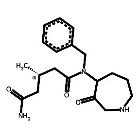 C[C@@H](CC(N)=O)CC(=O)N(Cc1ccccc1)C1CCCNCC1=O